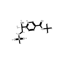 CC(C)(C)OC(=O)c1ccc([C@](C)(O)COS(C)(=O)=O)nc1